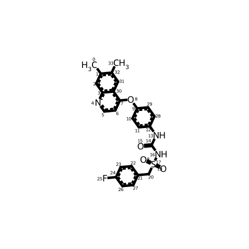 Cc1cc2nccc(Oc3ccc(NC(=O)NS(=O)(=O)Cc4ccc(F)cc4)cc3)c2cc1C